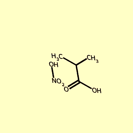 CC(C)C(=O)O.O=[N+]([O-])O